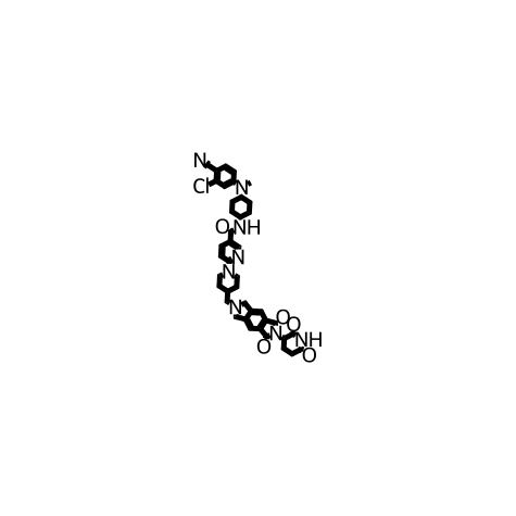 CN(c1ccc(C#N)c(Cl)c1)[C@H]1CC[C@H](NC(=O)c2ccc(N3CCC(CN4Cc5cc6c(cc5C4)C(=O)N(C4CCC(=O)NC4=O)C6=O)CC3)nc2)CC1